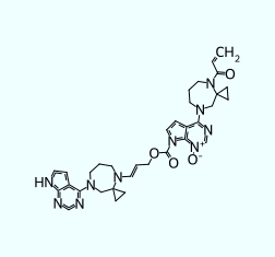 C=CC(=O)N1CCCN(c2nc[n+]([O-])c3c2ccn3C(=O)OCC=CN2CCCN(c3ncnc4[nH]ccc34)CC23CC3)CC12CC2